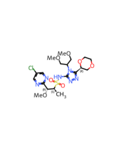 COCC(COC)n1c(NS(=O)(=O)[C@@H](C)[C@H](OC)c2ncc(Cl)cn2)nnc1[C@@H]1COCCO1